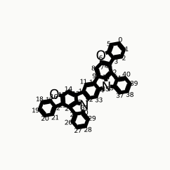 c1ccc2c(c1)oc1cc3c4cc5c6cc7oc8ccccc8c7c7c8ccccc8n(c5cc4n4c5ccccc5c(c12)c34)c67